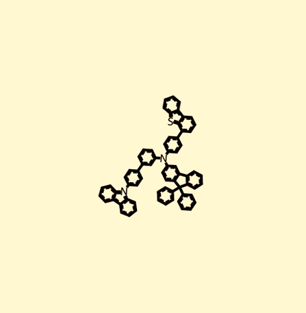 c1ccc(C2(c3ccccc3)c3ccccc3-c3cc(N(c4ccc(-c5cccc6c5sc5ccccc56)cc4)c4cccc(-c5ccc(-n6c7ccccc7c7ccccc76)cc5)c4)ccc32)cc1